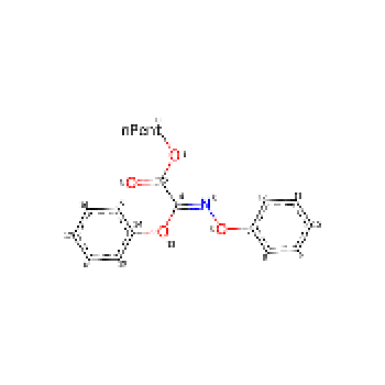 CCCCCOC(=O)C(=NOc1ccccc1)Oc1ccccc1